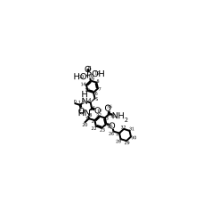 CC(=O)N[C@@H](Cc1ccc(P(=O)(O)O)cc1)C(=O)NC(C)c1ccc(OCC2CCCCC2)c(C(N)=O)c1